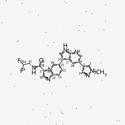 Cn1cc(-c2cnc3[nH]cc(-c4ccc5ncc(C(=O)NCC(F)F)n5c4)c3c2)cn1